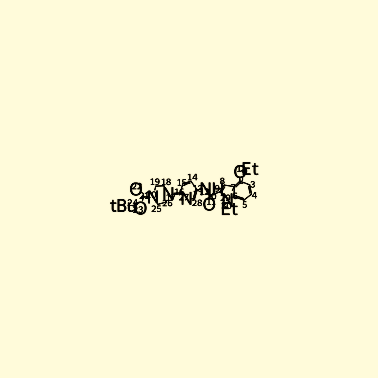 CCOc1cccc2c1cc(C(=O)Nc1ccc(N3CCN(C(=O)OC(C)(C)C)CC3)nc1)n2CC